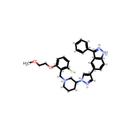 COCCOc1cccc(F)c1CN1CCCC(n2cc(-c3ccc4[nH]nc(-c5ccccc5)c4c3)cn2)C1